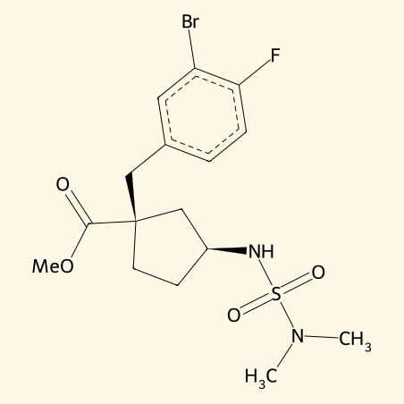 COC(=O)[C@@]1(Cc2ccc(F)c(Br)c2)CC[C@H](NS(=O)(=O)N(C)C)C1